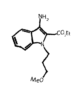 CCOC(=O)c1c(N)c2ccccc2n1CCCOC